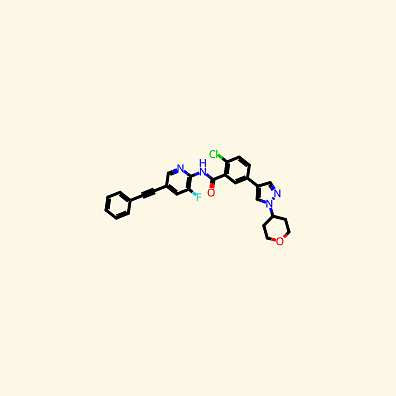 O=C(Nc1ncc(C#Cc2ccccc2)cc1F)c1cc(-c2cnn(C3CCOCC3)c2)ccc1Cl